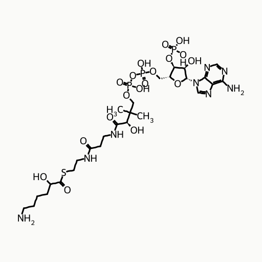 CC(C)(COP(=O)(O)OP(=O)(O)OC[C@H]1O[C@@H](n2cnc3c(N)ncnc32)[C@H](O)[C@@H]1OP(=O)(O)O)[C@@H](O)C(=O)NCCC(=O)NCCSC(=O)C(O)CCCCN